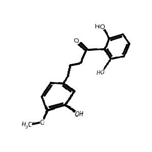 COc1ccc(CCC(=O)c2c(O)cccc2O)cc1O